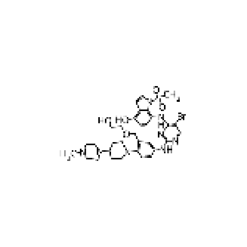 CN1CCN(C2CCN(c3ccc(Nc4ncc(Br)c(Nc5ccc(O)c6ccn(S(C)(=O)=O)c56)n4)cc3COCCO)CC2)CC1